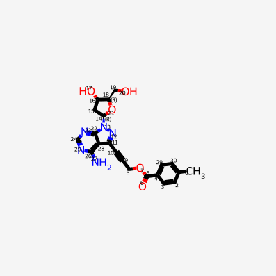 Cc1ccc(C(=O)OCC#Cc2nn([C@H]3CC(O)[C@@H](CO)O3)c3ncnc(N)c23)cc1